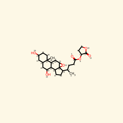 CC(CCC(=O)OC1CCOC1=O)C1CCC2C3C(O)CC4CC(O)CCC4(C)C3CC3OC312